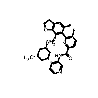 C[C@@H]1C[C@@H](N)C[C@H](c2ccncc2NC(=O)c2ccc(F)c(-c3c(F)cc4c(c3F)OCC4)n2)C1